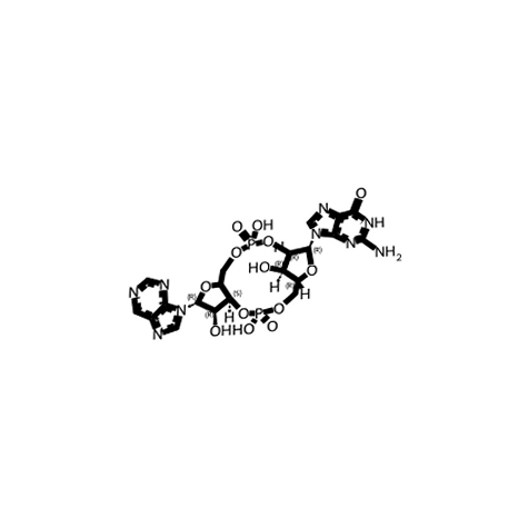 Nc1nc2c(ncn2[C@@H]2O[C@@H]3COP(=O)(O)O[C@@H]4C(COP(=O)(O)O[C@@H]2[C@@H]3O)O[C@@H](n2cnc3cncnc32)[C@@H]4O)c(=O)[nH]1